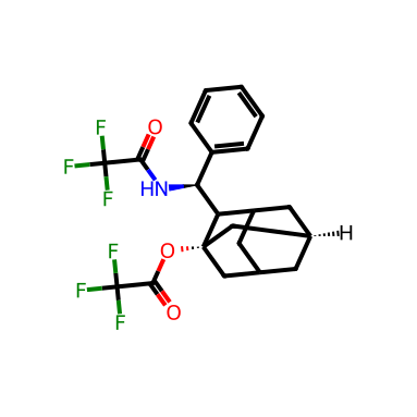 O=C(N[C@@H](c1ccccc1)C1C2CC3C[C@H](C2)C[C@@]1(OC(=O)C(F)(F)F)C3)C(F)(F)F